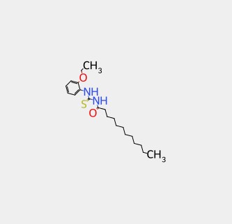 CCCCCCCCCCCC(=O)NC(=S)Nc1ccccc1OCC